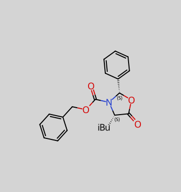 CCC(C)[C@H]1C(=O)O[C@@H](c2ccccc2)N1C(=O)OCc1ccccc1